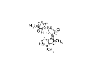 CC1NCCc2c1nn(C)c2-c1cc(Cl)cc(C2(NS(C)(=O)=O)CC2)c1